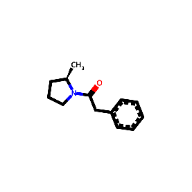 C[C@@H]1CCCN1C(=O)Cc1ccccc1